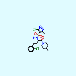 Cc1nn(C)c(Cl)c1S(=O)(=O)NC(CCc1ccccc1Cl)C(=O)N1CCC(C)CC1